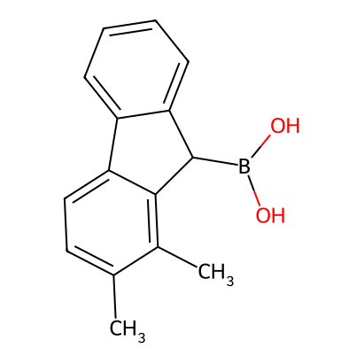 Cc1ccc2c(c1C)C(B(O)O)c1ccccc1-2